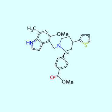 COC(=O)c1ccc([C@@H]2CC(c3cccs3)CCN2Cc2c(OC)cc(C)c3[nH]ccc23)cc1